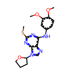 COc1ccc(Nc2nc(SC)nc3c2ncn3C2CCCO2)cc1OC